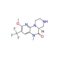 COc1nc2c(cc1C(F)(F)F)N(C)C(=O)[C@@H]1CNCCN21